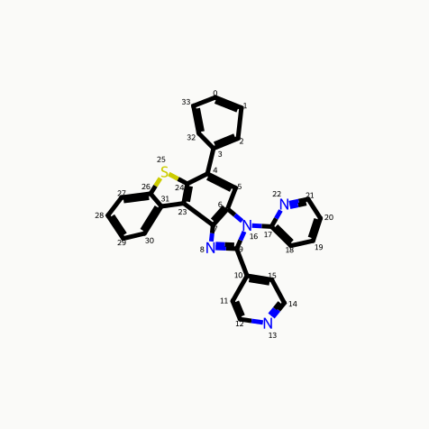 c1ccc(-c2cc3c(nc(-c4ccncc4)n3-c3ccccn3)c3c2sc2ccccc23)cc1